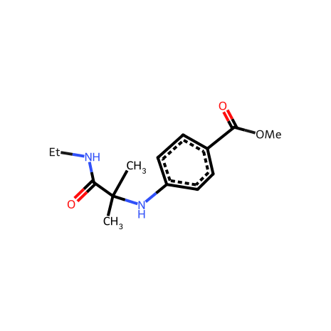 CCNC(=O)C(C)(C)Nc1ccc(C(=O)OC)cc1